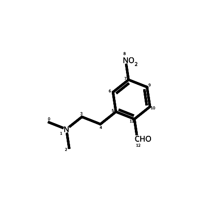 CN(C)CCc1cc([N+](=O)[O-])ccc1C=O